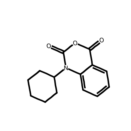 O=c1oc(=O)n(C2CCCCC2)c2ccccc12